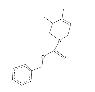 CC1=CCN(C(=O)OCc2ccccc2)CC1C